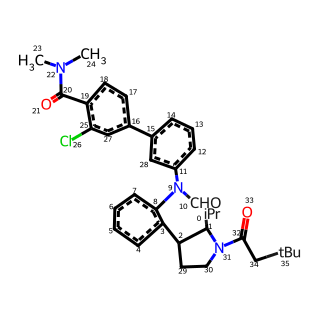 CC(C)C1C(c2ccccc2N(C=O)c2cccc(-c3ccc(C(=O)N(C)C)c(Cl)c3)c2)CCN1C(=O)CC(C)(C)C